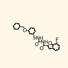 O=C(NSc1cccc(OCc2ccccc2)c1)NC(=O)c1cc2cccc(F)c2o1